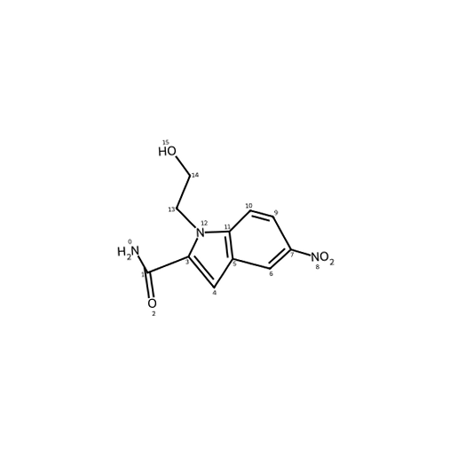 NC(=O)c1cc2cc([N+](=O)[O-])ccc2n1CCO